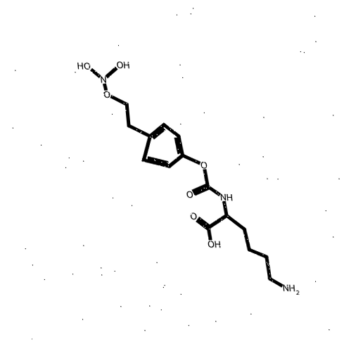 NCCCCC(NC(=O)Oc1ccc(CCON(O)O)cc1)C(=O)O